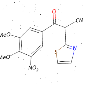 COc1cc(C(=O)C(C#N)c2nccs2)cc([N+](=O)[O-])c1OC